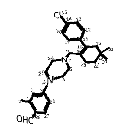 Cc1cc(N2CCN(CC3=C(c4ccc(Cl)cc4)CC(C)(C)CC3)CC2)ccc1C=O